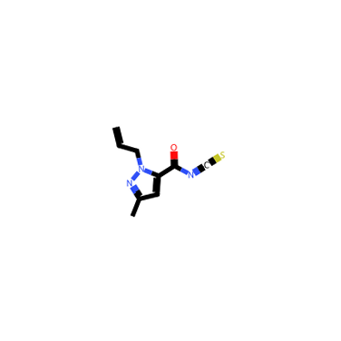 C=CCn1nc(C)cc1C(=O)N=C=S